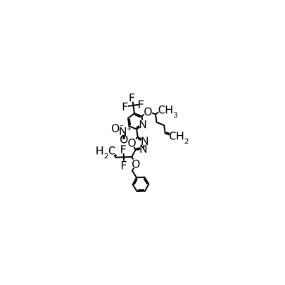 C=CCCC(C)Oc1nc(-c2nnc(C(OCc3ccccc3)C(F)(F)C=C)o2)c([N+](=O)[O-])cc1C(F)(F)F